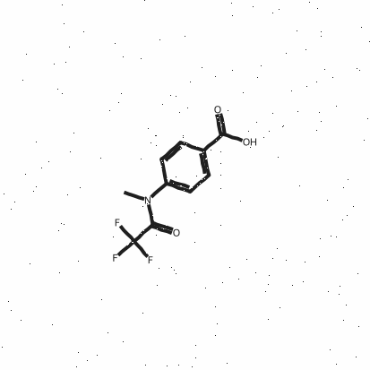 CN(C(=O)C(F)(F)F)c1ccc(C(=O)O)cc1